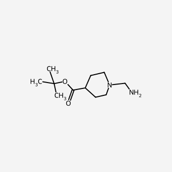 CC(C)(C)OC(=O)C1CCN(CN)CC1